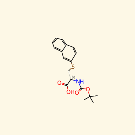 CC(C)(C)OC(=O)N[C@@H](CSc1ccc2ccccc2c1)C(=O)O